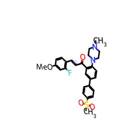 COc1ccc(/C=C/C(=O)c2cc(-c3ccc(S(C)(=O)=O)cc3)ccc2N2CCN(C)CC2)c(F)c1